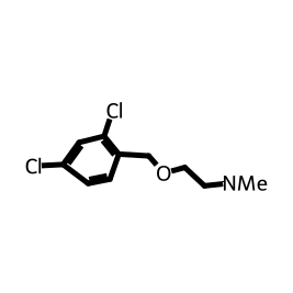 CNCCOCc1ccc(Cl)cc1Cl